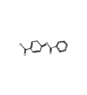 [N]C(=O)C1=CCC(=NC(=O)c2[c]cccc2)C=C1